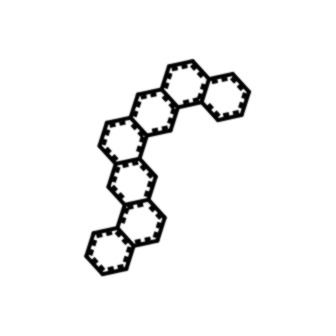 c1ccc2c(c1)ccc1cc3c(ccc4cc5ccc6ccccc6c5cc43)cc12